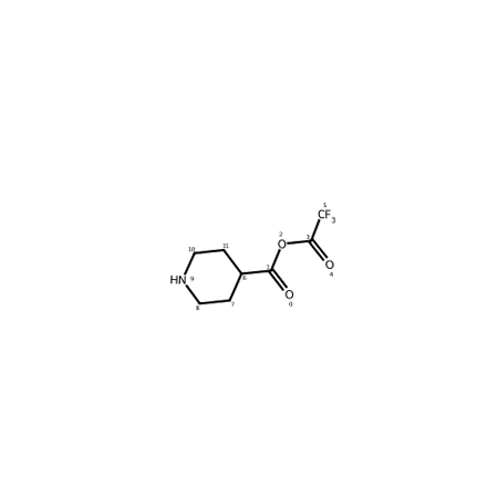 O=C(OC(=O)C(F)(F)F)C1CCNCC1